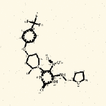 C[C@H]1C[C@@H](Oc2ccc(C(F)(F)F)cc2)CCN1c1nc(=O)[nH]c(NC[C@@H]2CCCO2)c1[N+](=O)[O-]